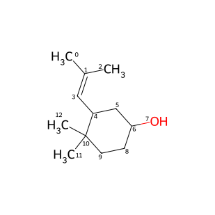 CC(C)=CC1CC(O)CCC1(C)C